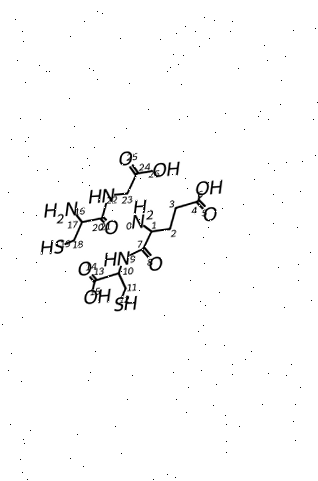 NC(CCC(=O)O)C(=O)NC(CS)C(=O)O.NC(CS)C(=O)NCC(=O)O